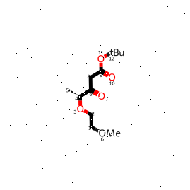 COCCO[C@H](C)C(=O)CC(=O)OC(C)(C)C